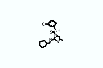 CC1CN(C(=S)Nc2cccc(Cl)c2)/C(=N/CC2CCCCC2)S1